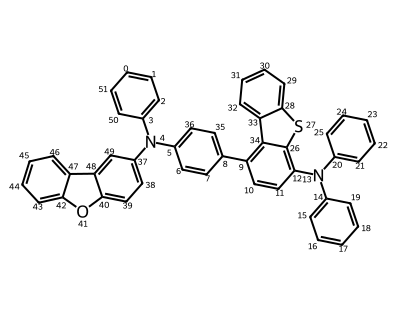 c1ccc(N(c2ccc(-c3ccc(N(c4ccccc4)c4ccccc4)c4sc5ccccc5c34)cc2)c2ccc3oc4ccccc4c3c2)cc1